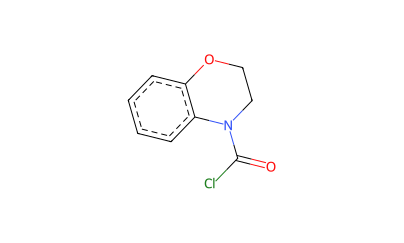 O=C(Cl)N1CCOc2ccccc21